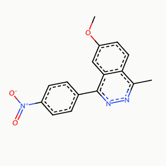 COc1ccc2c(C)nnc(-c3ccc([N+](=O)[O-])cc3)c2c1